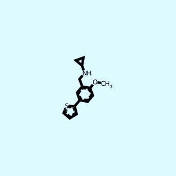 COc1ccc(-c2cccs2)cc1CNC1CC1